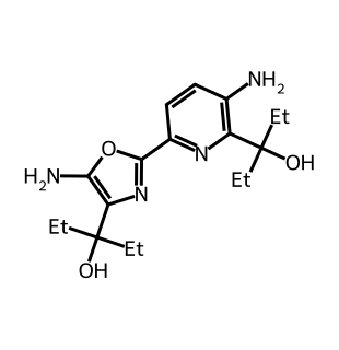 CCC(O)(CC)c1nc(-c2nc(C(O)(CC)CC)c(N)o2)ccc1N